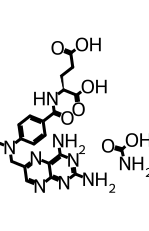 CN(Cc1cnc2nc(N)nc(N)c2n1)c1ccc(C(=O)N[C@@H](CCC(=O)O)C(=O)O)cc1.NC(=O)O